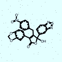 O=C1OC(O)(c2ccc3nsnc3c2)C(Cc2ccc([N+](=O)[O-])cc2)=C1c1ccc2c(c1)OCO2